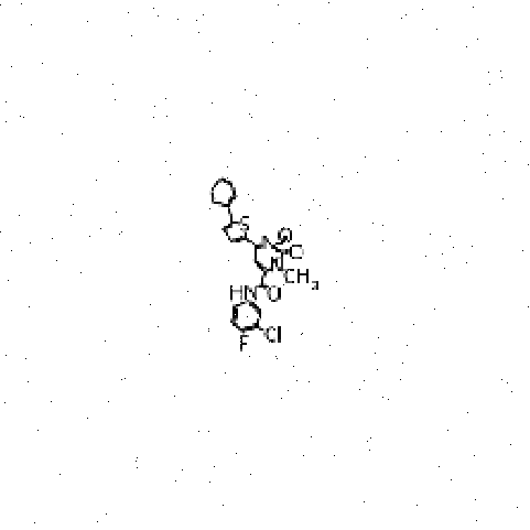 CN1C(C(=O)Nc2ccc(F)c(Cl)c2)=CC(c2ccc(-c3ccccc3)s2)=NS1(=O)=O